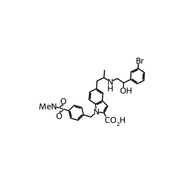 CNS(=O)(=O)c1ccc(Cn2c(C(=O)O)cc3cc(CC(C)NCC(O)c4cccc(Br)c4)ccc32)cc1